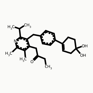 CCC(=O)Cc1c(C)c(C)nc(C(C)C)c1Cc1ccc(C2=CCC(O)(O)CC2)cc1